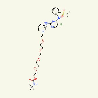 CC(C)S(=O)(=O)c1ccccc1Nc1nc(N[C@@H]2CCCN(CCOCCOCCOCCOCCOC(=O)NC(C)(C)C)C2)ncc1Cl